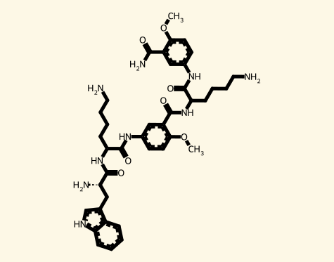 COc1ccc(NC(=O)C(CCCCN)NC(=O)c2cc(NC(=O)C(CCCCN)NC(=O)[C@@H](N)Cc3c[nH]c4ccccc34)ccc2OC)cc1C(N)=O